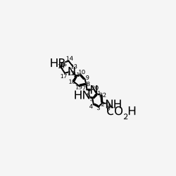 O=C(O)Nc1ccc2[nH]c(-c3ccc(N4CCBCC4)cc3)nc2c1